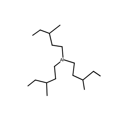 CCC(C)C[CH2][Al]([CH2]CC(C)CC)[CH2]CC(C)CC